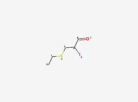 CCSCC(I)[C]=O